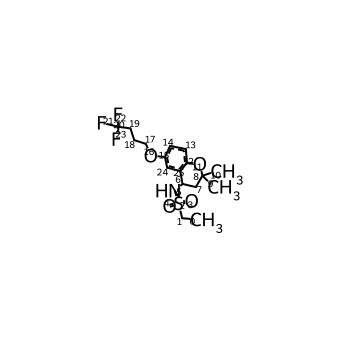 CCS(=O)(=O)NC1CC(C)(C)Oc2ccc(OCCCC(F)(F)F)cc21